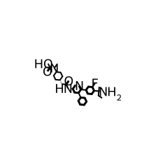 CCC(C)(N)c1ccc(-c2ncc(NC(=O)C[C@H]3CC[C@H](N(C)C(=O)O)CC3)cc2-c2ccccc2)cc1F